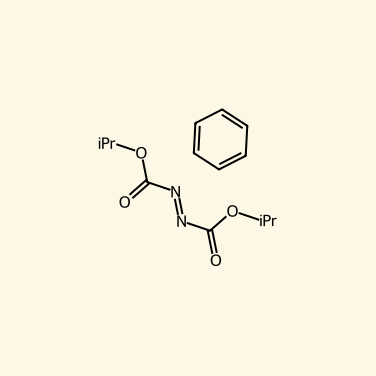 CC(C)OC(=O)N=NC(=O)OC(C)C.c1ccccc1